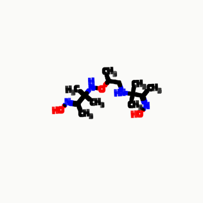 CC(=NO)C(C)(C)NCC(C)ONC(C)(C)C(C)=NO